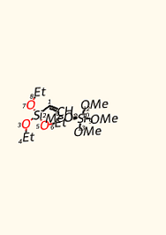 C=C[Si](OCC)(OCC)OCC.CO[Si](OC)(OC)OC